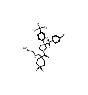 O=C(N1CC[C@](c2ccc(C(F)(C(F)(F)F)C(F)(F)F)cc2)(S(=O)(=O)c2ccc(F)cc2)C1)C1(CNCCO)CCS(=O)(=O)CC1